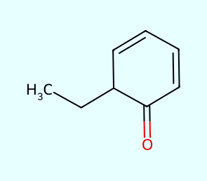 CCC1C=CC=CC1=O